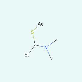 CCC(SC(C)=O)N(C)C